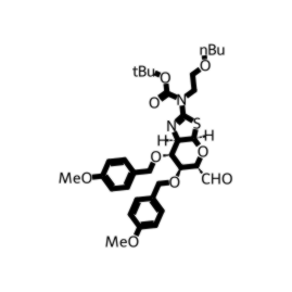 CCCCOCCN(C(=O)OC(C)(C)C)C1=N[C@@H]2[C@@H](OCc3ccc(OC)cc3)[C@H](OCc3ccc(OC)cc3)[C@@H](C=O)O[C@@H]2S1